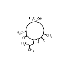 CC(C)C[C@H]1CC(=O)N(C)CCC[C@@](C)(O)CCC[C@@H](C)C(=O)N1